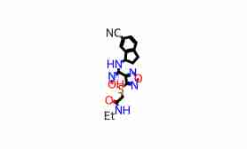 CCNC(=O)CSc1nonc1/C(=N\O)NC1CCc2ccc(C#N)cc21